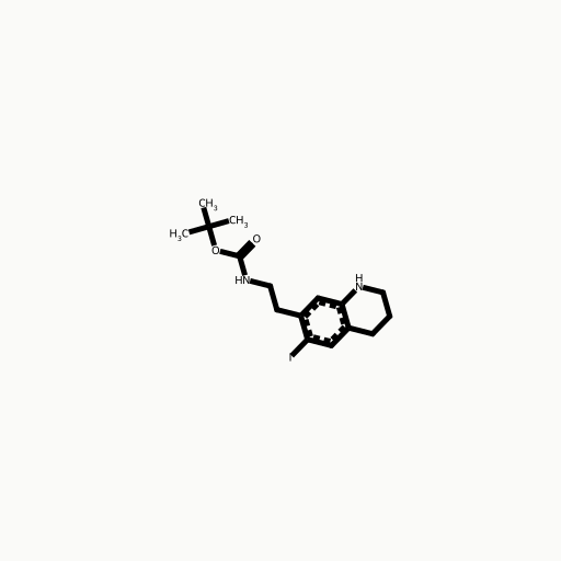 CC(C)(C)OC(=O)NCCc1cc2c(cc1I)CCCN2